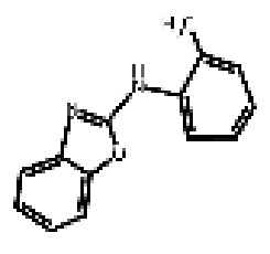 Cc1ccccc1Nc1nc2cc[c]cc2o1